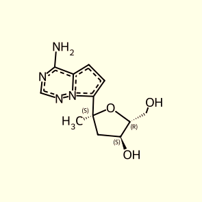 C[C@@]1(c2ccc3c(N)ncnn23)C[C@H](O)[C@@H](CO)O1